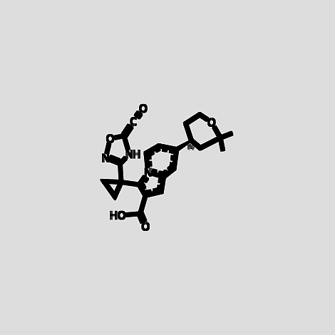 CC1(C)C[C@@H](c2ccn3c(C4(C5=NOC(=C=O)N5)CC4)c(C(=O)O)cc3c2)CCO1